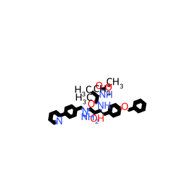 COC(=O)N[C@H](C(=O)N[C@@H](Cc1ccc(OCc2ccccc2)cc1)[C@@H](O)CN(N)Cc1ccc(-c2ccccn2)cc1)C(C)(C)C